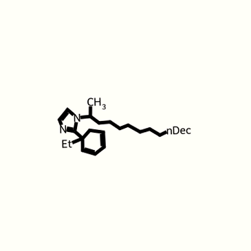 CCCCCCCCCCCCCCCCCC(C)n1ccnc1C1(CC)C=CC=CC1